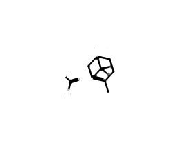 CC1=C2CC(CC1)C2(C)C.O=C([O-])[O-].[Ca+2]